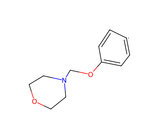 [c]1ccc(OCN2CCOCC2)cc1